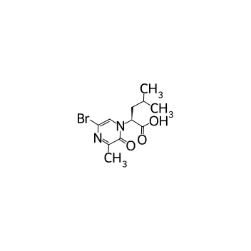 Cc1nc(Br)cn([C@@H](CC(C)C)C(=O)O)c1=O